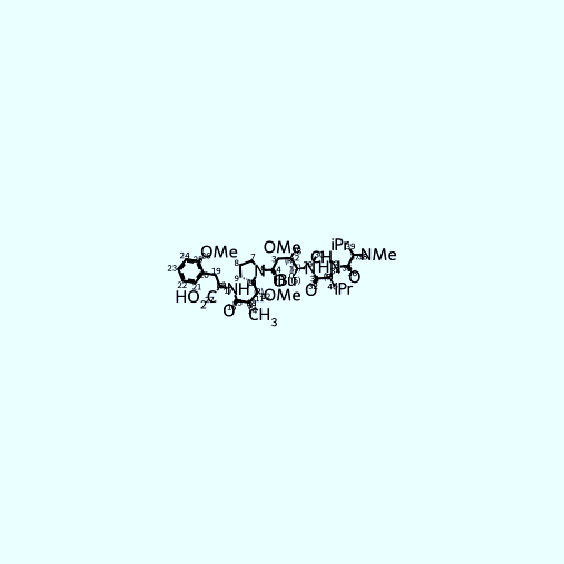 CC[C@H](C)[C@@H]([C@@H](CC(=O)N1CCC[C@H]1[C@H](OC)[C@@H](C)C(=O)N[C@@H](Cc1ccccc1OC)C(=O)O)OC)N(C)C(=O)[C@@H](NC(=O)C(NC)C(C)C)C(C)C